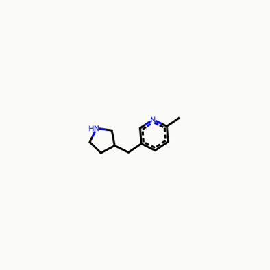 Cc1ccc(CC2CCNC2)cn1